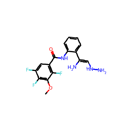 COc1c(F)c(F)cc(C(=O)Nc2ccccc2/C(N)=C/NN)c1F